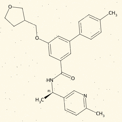 Cc1ccc(-c2cc(OCC3CCOC3)cc(C(=O)N[C@H](C)c3ccc(C)nc3)c2)cc1